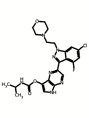 CC(C)NC(=O)Oc1c[nH]c2ncc(-c3nn(CCN4CCOCC4)c4cc(Cl)cc(F)c34)nc12